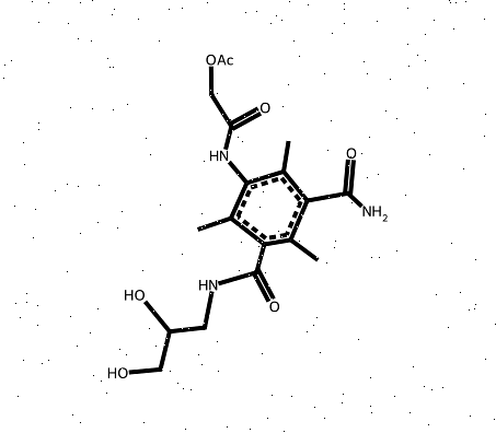 CC(=O)OCC(=O)Nc1c(C)c(C(N)=O)c(C)c(C(=O)NCC(O)CO)c1C